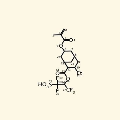 C=C(C)C(=O)OC1CC2CC(CC)C(C(=O)OC(C(F)(F)F)C(F)(F)S(=O)(=O)O)C(C2)C1